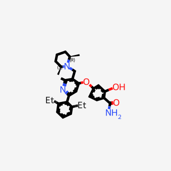 CCc1cccc(CC)c1-c1cc(Oc2ccc(C(N)=O)c(O)c2)c(CN2[C@H](C)CCC[C@@H]2C)c(C)n1